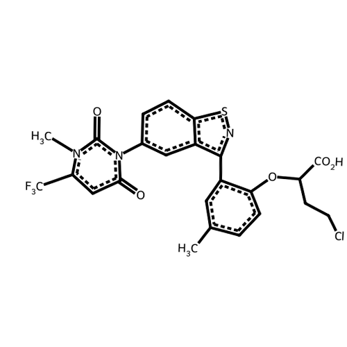 Cc1ccc(OC(CCCl)C(=O)O)c(-c2nsc3ccc(-n4c(=O)cc(C(F)(F)F)n(C)c4=O)cc23)c1